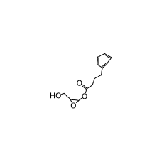 O=C(CCCc1ccccc1)OC1OC1CO